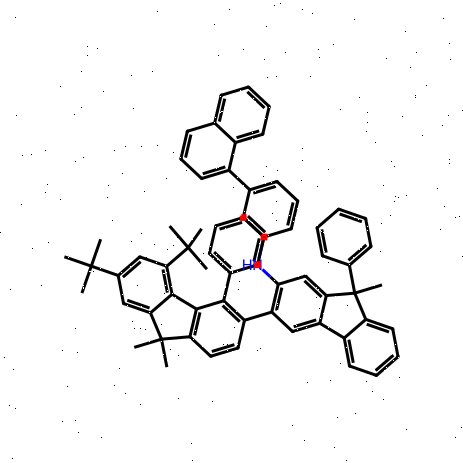 CC(C)(C)c1cc(C(C)(C)C)c2c(c1)C(C)(C)c1ccc(-c3cc4c(cc3Nc3cccc(-c5cccc6ccccc56)c3)C(C)(c3ccccc3)c3ccccc3-4)c(-c3ccccc3)c1-2